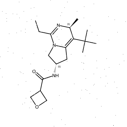 CCC1=N[C@@H](C)C(C(C)(C)C)=C2C[C@H](NC(=O)C3COC3)CN12